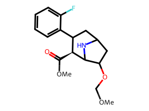 COCOC1CC2CC(c3ccccc3F)[C@H](C(=O)OC)C1N2